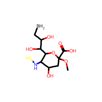 BCC(O)C(O)C1OC(OC)(C(=O)O)CC(O)C1NS